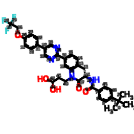 CC(C)(C)c1ccc(C(=O)N[C@@H](Cc2ccc(-c3ncc(-c4ccc(OCC(F)(F)F)cc4)cn3)cc2)C(=O)NCCC(O)O)cc1